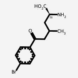 CC(CC(=O)c1ccc(Br)cc1)C[C@H](N)C(=O)O